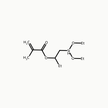 C=C(C)C(=O)OC(CC)C[SiH](OCC)OCC